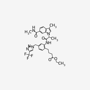 CCOC(=O)CCCc1ccc(Cn2cc(C(F)(F)F)nn2)cc1NC(=O)C(C)n1cc(C)c2ccc(C(=O)NC)cc21